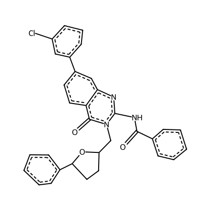 O=C(Nc1nc2cc(-c3cccc(Cl)c3)ccc2c(=O)n1CC1CCC(c2ccccc2)O1)c1ccccc1